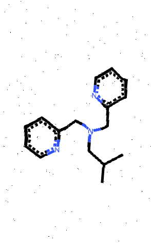 CC(C)CN(Cc1ccccn1)Cc1ccccn1